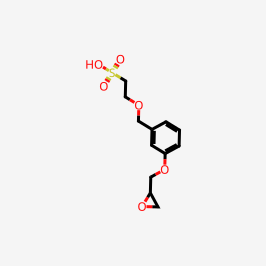 O=S(=O)(O)CCOCc1cccc(OCC2CO2)c1